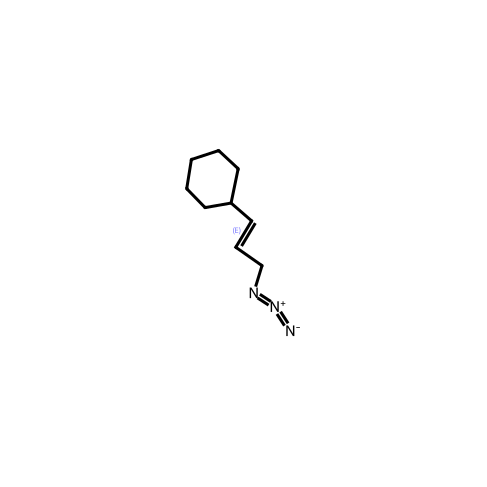 [N-]=[N+]=NC/C=C/C1CCCCC1